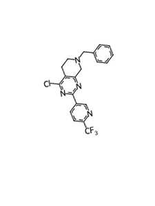 FC(F)(F)c1ccc(-c2nc(Cl)c3c(n2)CN(Cc2ccccc2)CC3)cn1